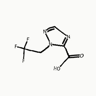 O=C(O)c1ncnn1CC(F)(F)F